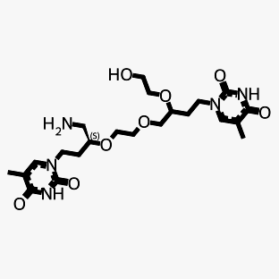 Cc1cn(CCC(COCCO[C@H](CN)CCn2cc(C)c(=O)[nH]c2=O)OCCO)c(=O)[nH]c1=O